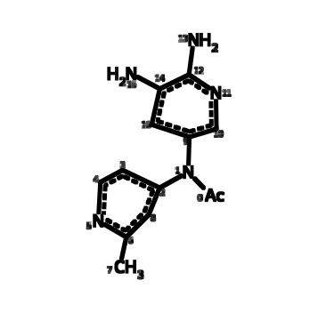 CC(=O)N(c1ccnc(C)c1)c1cnc(N)c(N)c1